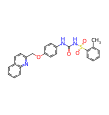 Cc1ccccc1S(=O)(=O)NC(=O)Nc1ccc(OCc2ccc3ccccc3n2)cc1